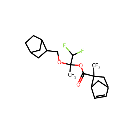 O=C(OC(OCC1CC2CCC1C2)(C(F)F)C(F)(F)F)C1(C(F)(F)F)CC2C=CC1C2